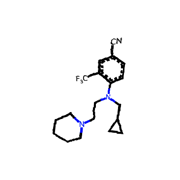 N#Cc1ccc(N(CCN2CCCCC2)CC2CC2)c(C(F)(F)F)c1